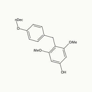 CCCCCCCCCCOc1ccc(Cc2c(OC)cc(O)cc2OC)cc1